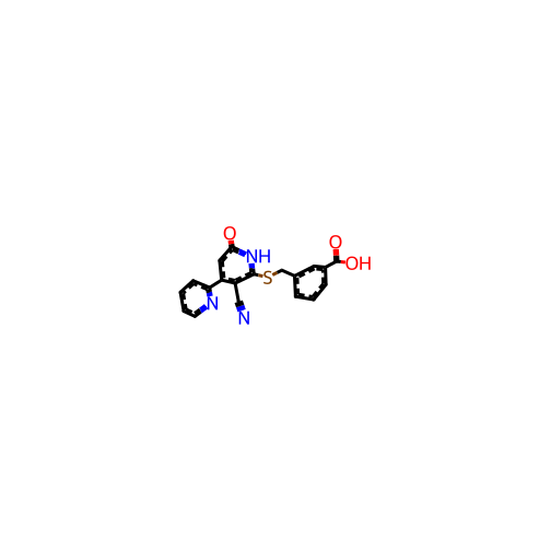 N#Cc1c(-c2ccccn2)cc(=O)[nH]c1SCc1cccc(C(=O)O)c1